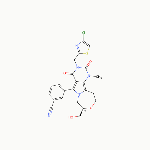 Cn1c(=O)n(Cc2nc(Cl)cs2)c(=O)c2c(-c3cccc(C#N)c3)n3c(c21)CCO[C@@H](CO)C3